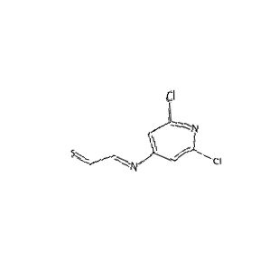 S=CC=Nc1cc(Cl)nc(Cl)c1